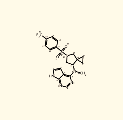 CN(c1ncnc2[nH]ccc12)[C@H]1CN(S(=O)(=O)c2ccc(C(F)(F)F)cc2)CC12CC2